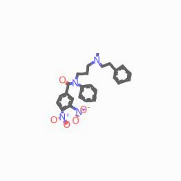 CN(CCCN(C(=O)c1ccc([N+](=O)[O-])c([N+](=O)[O-])c1)c1ccccc1)CCc1ccccc1